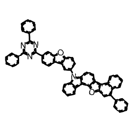 c1ccc(-c2nc(-c3ccccc3)nc(-c3ccc4c(c3)oc3ccc(-n5c6ccccc6c6c7oc8cc(-c9ccccc9)c9ccccc9c8c7ccc65)cc34)n2)cc1